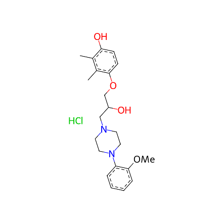 COc1ccccc1N1CCN(CC(O)COc2ccc(O)c(C)c2C)CC1.Cl